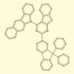 c1ccc(C2(c3ccccc3)c3ccccc3-c3ccc(-c4nc(-n5c6ccccc6c6cc7ccccc7cc65)c5c(n4)sc4ccccc45)cc32)cc1